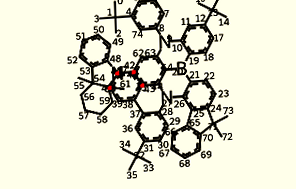 CC(C)(C)c1cccc(N2c3cc(C(C)(C)C)ccc3B3c4ccc5c(c4N(c4ccc(C(C)(C)C)cc4-c4ccccc4)c4cc(N6c7ccccc7C7(C)CCCCC67C)cc2c43)-c2ccccc2C5(C)C)c1